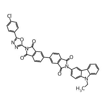 CCn1c2ccccc2c2cc(N3C(=O)c4ccc(-c5ccc6c(c5)C(=O)N(c5nnc(-c7ccc(Cl)cc7)o5)C6=O)cc4C3=O)ccc21